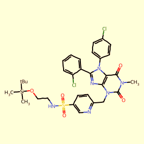 Cn1c(=O)c2c(nc(-c3ccccc3Cl)n2-c2ccc(Cl)cc2)n(Cc2ccc(S(=O)(=O)NCCO[Si](C)(C)C(C)(C)C)cn2)c1=O